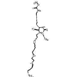 CC(C)(C)OC(=O)NCCCC(NC(=O)OC(C)(C)C)C(=O)NCCOCCOCCOCCN